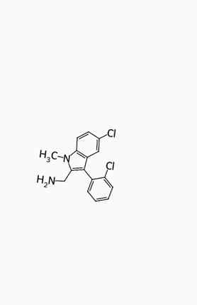 Cn1c(CN)c(-c2ccccc2Cl)c2cc(Cl)ccc21